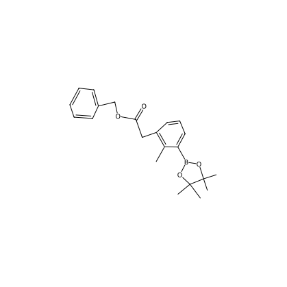 Cc1c(CC(=O)OCc2ccccc2)cccc1B1OC(C)(C)C(C)(C)O1